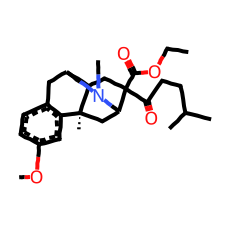 CCOC(=O)C1(C(=O)CCC(C)C)CC2C3Cc4ccc(OC)cc4[C@]2(C)CC1N3C